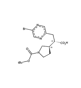 CC(C)(C)OC(=O)N1CC[C@H]([C@H](Cc2cnc(Br)cn2)C(=O)O)C1